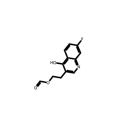 O=COCCc1cnc2cc(F)ccc2c1O